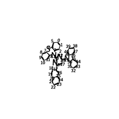 c1ccc2c(c1)Sc1ccccc1N2c1nc(-c2ccc3ccccc3c2)cc(-n2c3ccccc3c3ccccc32)n1